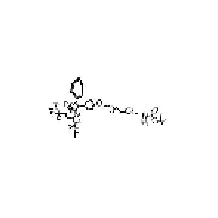 CC(C)(C)OC(=O)NCCOCCOCCOc1ccc(-c2c(-c3ccccc3)nn3c(C(F)(F)F)cc(C(F)(F)F)nc23)cc1